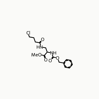 COC(=O)C(CNC(=O)CCCCl)NC(=O)OCc1ccccc1